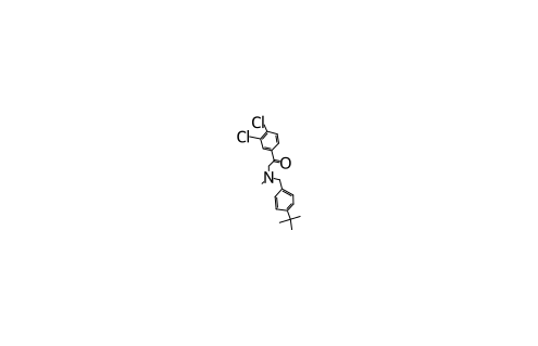 CN(CC(=O)c1ccc(Cl)c(Cl)c1)Cc1ccc(C(C)(C)C)cc1